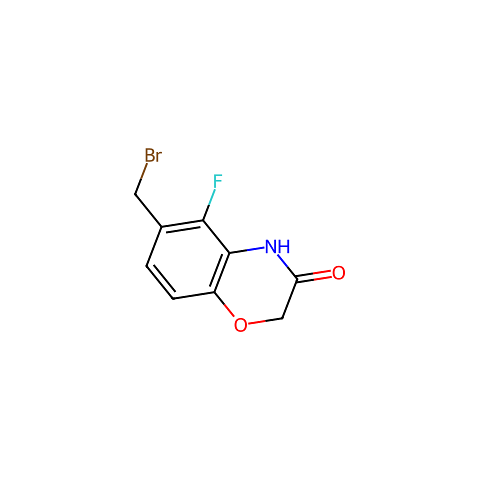 O=C1COc2ccc(CBr)c(F)c2N1